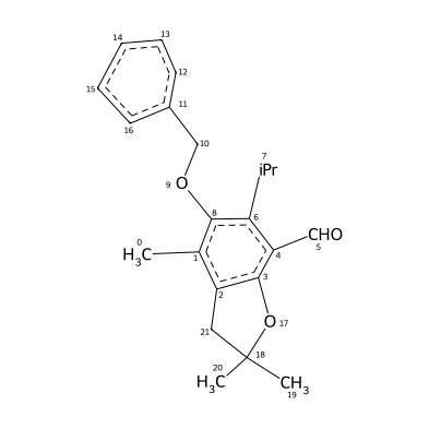 Cc1c2c(c(C=O)c(C(C)C)c1OCc1ccccc1)OC(C)(C)C2